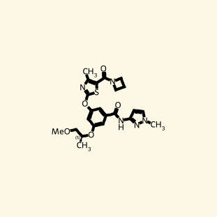 COC[C@H](C)Oc1cc(Oc2nc(C)c(C(=O)N3CCC3)s2)cc(C(=O)Nc2ccn(C)n2)c1